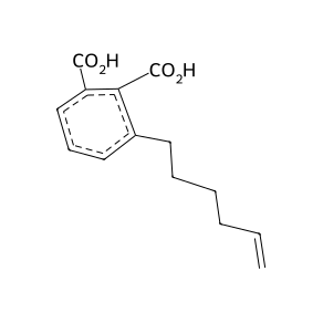 C=CCCCCc1cccc(C(=O)O)c1C(=O)O